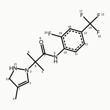 CC1=CN(C(C)(C)C(=O)Nc2ccc(C(F)(F)F)cc2F)NC1